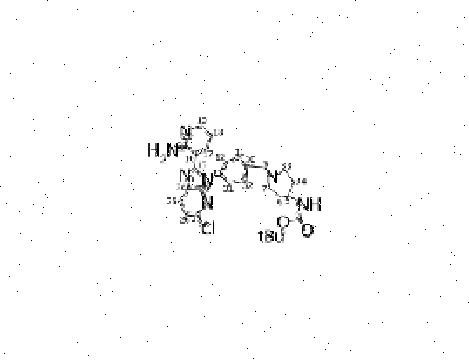 CC(C)(C)OC(=O)NC1CCN(Cc2ccc(-n3c(-c4cccnc4N)nc4ccc(Cl)nc43)cc2)CC1